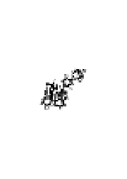 C/C(F)=C/C(=O)NC1(c2cccc3cnc(Nc4ccc(N5CCN(C)CC5)cc4)nc23)C=CC=CN1